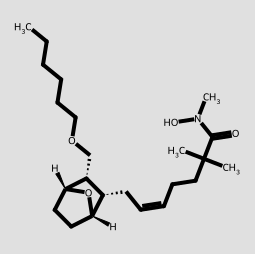 CCCCCCOC[C@@H]1[C@H](C/C=C\CCC(C)(C)C(=O)N(C)O)[C@@H]2CC[C@H]1O2